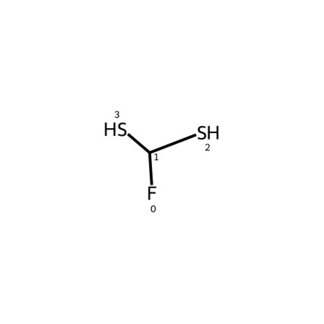 FC(S)S